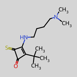 CN(C)CCCCNc1c(C(C)(C)C)c(=O)c1=S